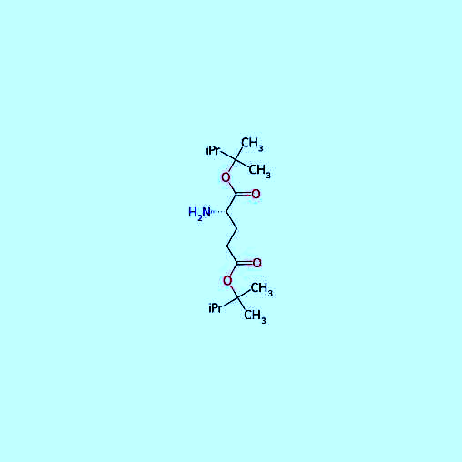 CC(C)C(C)(C)OC(=O)CC[C@H](N)C(=O)OC(C)(C)C(C)C